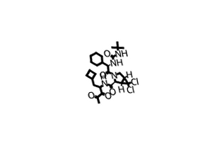 CC(=O)C(=O)C(CC1CCC1)NC(=O)[C@@H]1[C@@H]2[C@H](CN1C(=O)[C@@H](NC(=O)NC(C)(C)C)C1CCCCC1)C2(Cl)Cl